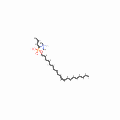 CCCCCCCC/C=C\CCCCCCCCCCOP(=O)(O)C(CCC)[N+](C)(C)C